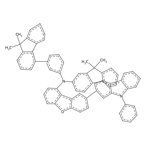 CC1(C)c2ccccc2-c2ccc(N(c3cccc(-c4cccc5c4-c4ccccc4C5(C)C)c3)c3cccc4oc5ccc(-c6ccc7c8ccccc8n(-c8ccccc8)c7c6)cc5c34)cc21